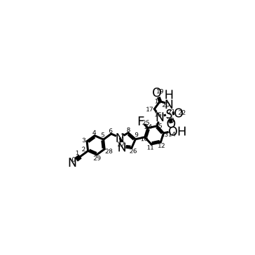 N#Cc1ccc(Cn2cc(-c3ccc(O)c(N4CC(=O)NS4(=O)=O)c3F)cn2)cc1